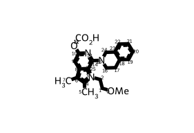 COCCn1c(C)c(C)c2cc(OC(=O)O)nc(N3CCc4ccccc4C3)c21